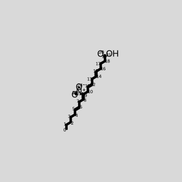 CCCCCC=CCC=C(CC=CCC=CCCCC(=O)O)[N+](=O)[O-]